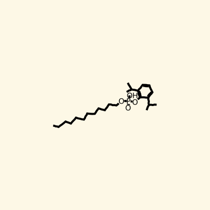 CCCCCCCCCCCCOP(=O)(O)Oc1c(C(C)C)cccc1C(C)C